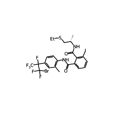 CCSC[C@H](C)NC(=O)c1c(I)cccc1C(=O)Nc1ccc(C(F)(C(F)(F)F)C(F)(F)Br)cc1C